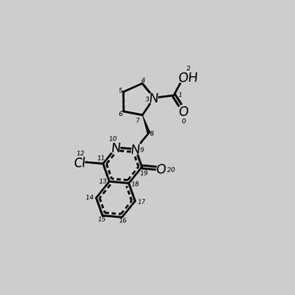 O=C(O)N1CCC[C@@H]1Cn1nc(Cl)c2ccccc2c1=O